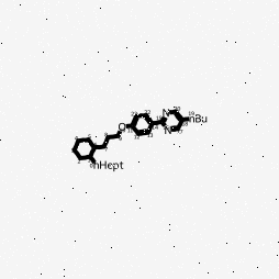 CCCCCCCC1CCCCC1CCCOc1ccc(-c2ncc(CCCC)cn2)cc1